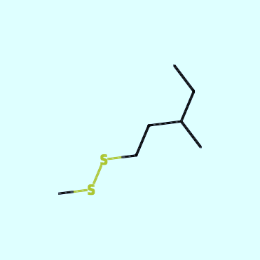 CCC(C)CCSSC